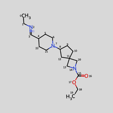 CC/N=C/C1CCN(C2CCC3(C2)CN(C(=O)OCC)C3)CC1